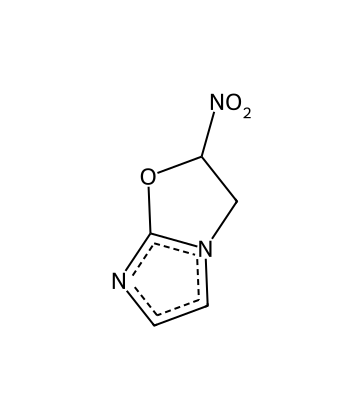 O=[N+]([O-])C1Cn2ccnc2O1